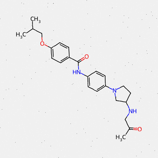 CC(=O)CNC1CCN(c2ccc(NC(=O)c3ccc(OCC(C)C)cc3)cc2)C1